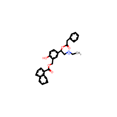 CCNCC(OC(=O)Cc1ccccc1)c1ccc(O)c(COC(=O)c2cccc3ccccc23)c1